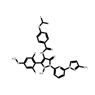 COc1cc(F)c(-c2c(NC(=O)c3ccc(OC(F)F)cc3)c(=O)n(-c3cccc(-n4ccc(C)n4)n3)n2C)c(F)c1